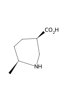 C[C@H]1CC[C@@H](C(=O)O)CN1